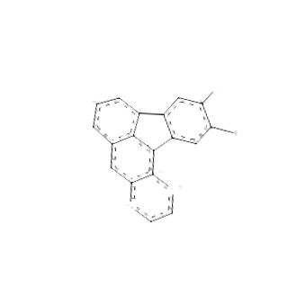 CC(C)c1cc2c(cc1O)-c1cccc3cc4nccnc4c-2c13